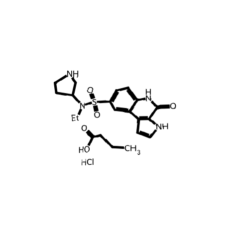 CCCC(=O)O.CCN(C1CCNC1)S(=O)(=O)c1ccc2[nH]c(=O)c3[nH]ccc3c2c1.Cl